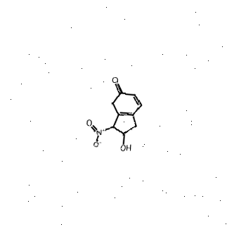 O=C1C=CC2=C(C1)C([N+](=O)[O-])C(O)C2